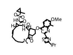 COc1ccc2c(O[C@H]3CC[C@H]4C(=O)N(C)CCCC/C=C\[C@@H]5C[C@@]5(C(=O)NS(=O)(=O)C5(C)CC5)NC(=O)[C@@H]4C3)cc(-c3nc(C(C)C)cs3)nc2c1C